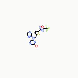 COc1cncc(N(Cc2ccc(-c3noc(C(F)(F)F)n3)s2)c2cnccn2)n1